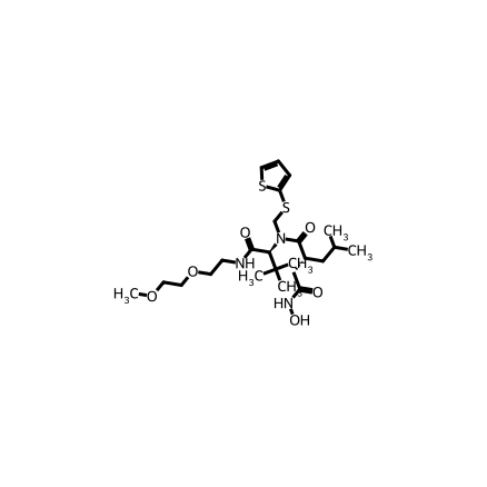 COCCOCCNC(=O)[C@@H](N(CSc1cccs1)C(=O)[C@@H](CC(=O)NO)CC(C)C)C(C)(C)C